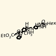 CCCCCCOC(=O)NC(=N)c1ccc(NCc2nc3c(C)c(OC(=O)N(CCC(=O)OCC)c4ccccn4)ccc3[nH]2)cc1